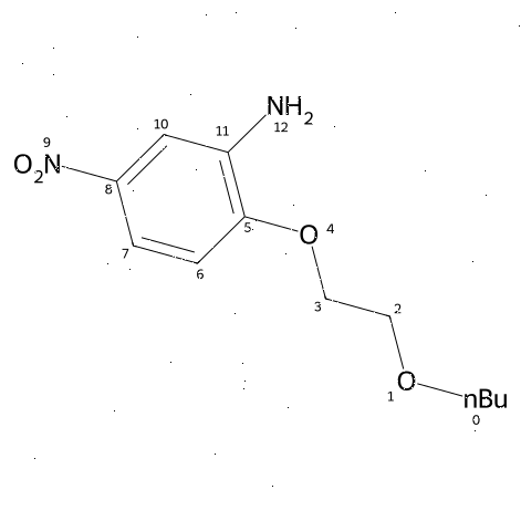 CCCCOCCOc1ccc([N+](=O)[O-])cc1N